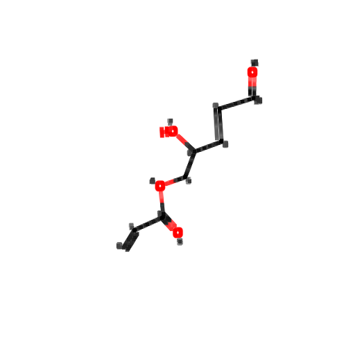 C=CC(=O)OCC(O)C=C[C]=O